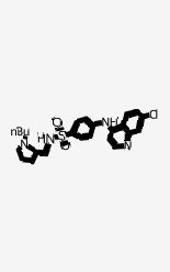 CCCCN1CCCC1CNS(=O)(=O)c1ccc(Nc2ccnc3cc(Cl)ccc23)cc1